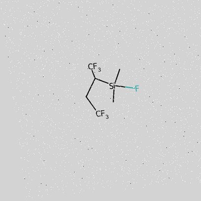 C[Si](C)(F)C(CC(F)(F)F)C(F)(F)F